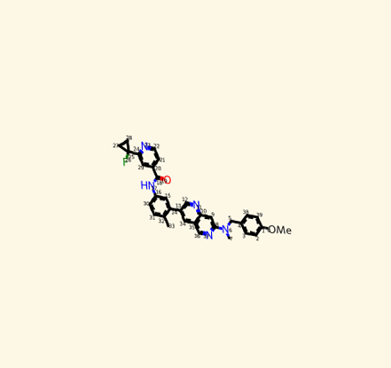 COc1ccc(CN(C)c2cc3ncc(-c4cc(NC(=O)c5ccnc(C6(F)CC6)c5)ccc4C)cc3cn2)cc1